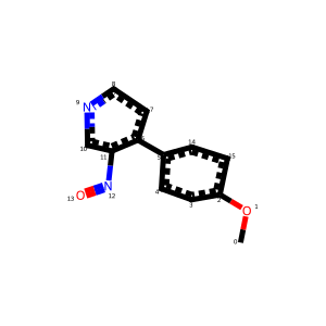 COc1ccc(-c2ccncc2N=O)cc1